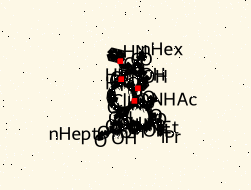 CCCCCCCC(=O)OC[C@H]1O[C@@H](Oc2c3cc4cc2Oc2ccc(cc2Cl)[C@@H](O)[C@@H](NC(=O)[C@H](CC)CC(C)C)C(=O)C[C@@H](CC(=O)NC(C)=O)C(=O)N[C@H]4C(=O)C[C@H]2C(=O)N[C@H](C(=O)N[C@H](C(=O)CC4C5CC6CC(C5)CC4C6)c4cc(OC(=O)NCCCCCC)cc(O)c4-c4cc2ccc4O)[C@H](O)c2ccc(c(Cl)c2)O3)[C@H](O)[C@@H](O)[C@@H]1O